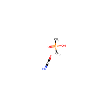 CP(C)(=O)O.N=C=O